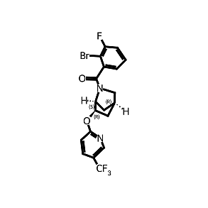 O=C(c1cccc(F)c1Br)N1C[C@H]2C[C@@H](Oc3ccc(C(F)(F)F)cn3)[C@@H]1C2